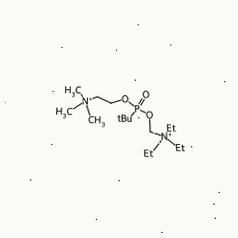 CC[N+](CC)(CC)COP(=O)(OCC[N+](C)(C)C)C(C)(C)C